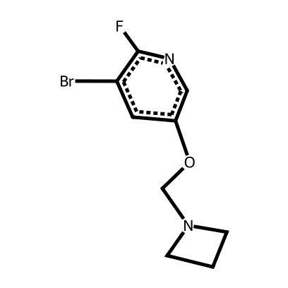 Fc1ncc(OCN2CCC2)cc1Br